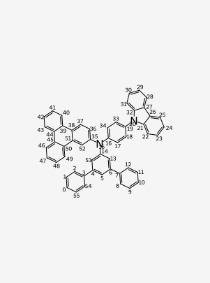 c1ccc(-c2cc(-c3ccccc3)cc(N(c3ccc(-n4c5ccccc5c5ccccc54)cc3)c3ccc4c5ccccc5c5ccccc5c4c3)c2)cc1